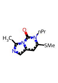 CCCn1c(SC)cc2cnc(C)n2c1=O